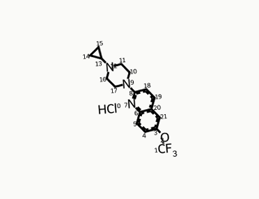 Cl.FC(F)(F)Oc1ccc2nc(N3CCN(C4CC4)CC3)ccc2c1